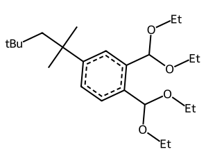 CCOC(OCC)c1ccc(C(C)(C)CC(C)(C)C)cc1C(OCC)OCC